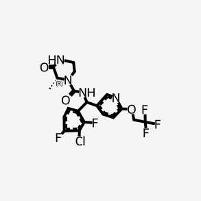 C[C@@H]1C(=O)NCCN1C(=O)NC(c1ccc(OCC(F)(F)F)nc1)c1ccc(F)c(Cl)c1F